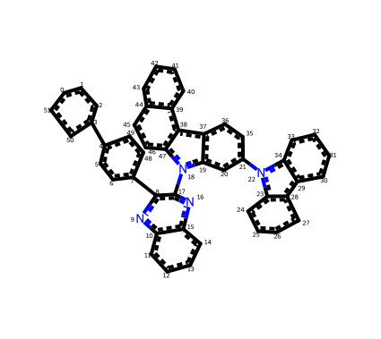 c1ccc(-c2ccc(-c3nc4ccccc4nc3-n3c4cc(-n5c6ccccc6c6ccccc65)ccc4c4c5ccccc5ccc43)cc2)cc1